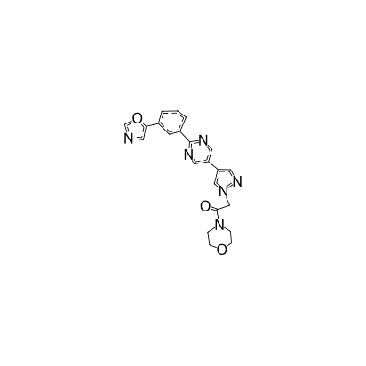 O=C(Cn1cc(-c2cnc(-c3cccc(-c4cnco4)c3)nc2)cn1)N1CCOCC1